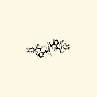 CCCO[Si](OCCC)(OCCC)N(CCC)C(=O)N1CCN=C1C(C)(C)N=NC(C)(C)C1=NCCN1C(=O)N(CCC)[Si](OCCC)(OCCC)OCCC